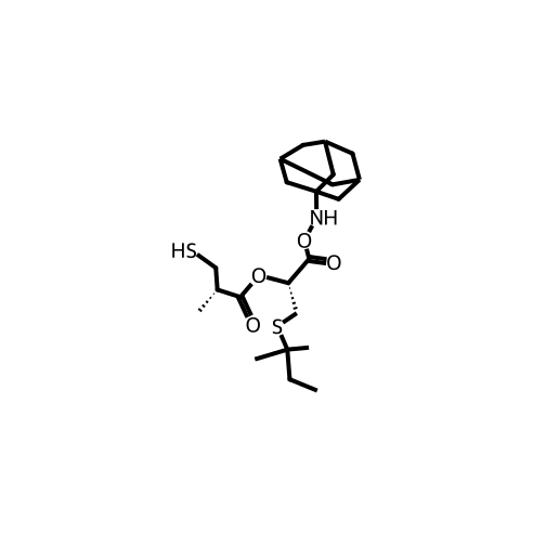 CCC(C)(C)SC[C@H](OC(=O)[C@H](C)CS)C(=O)ONC12CC3CC(CC(C3)C1)C2